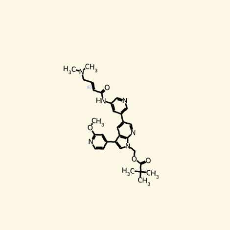 COc1cc(-c2cn(COC(=O)C(C)(C)C)c3ncc(-c4cncc(NC(=O)/C=C/CN(C)C)c4)cc23)ccn1